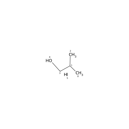 CC(C)CO.I